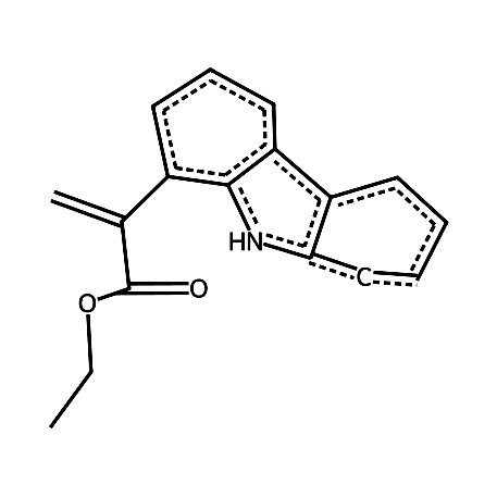 C=C(C(=O)OCC)c1cccc2c1[nH]c1ccccc12